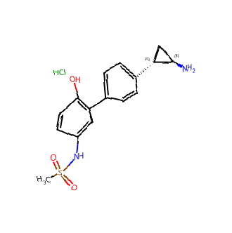 CS(=O)(=O)Nc1ccc(O)c(-c2ccc([C@@H]3C[C@H]3N)cc2)c1.Cl